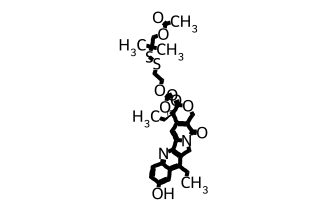 CCc1c2c(nc3ccc(O)cc13)-c1cc3c(c(=O)n1C2)COC(=O)[C@@]3(CC)OC(=O)OCCSSC(C)(C)COC(C)=O